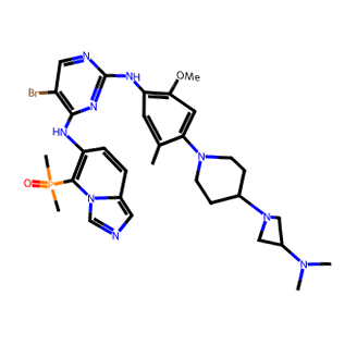 COc1cc(N2CCC(N3CC(N(C)C)C3)CC2)c(C)cc1Nc1ncc(Br)c(Nc2ccc3cncn3c2P(C)(C)=O)n1